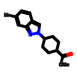 CCc1ccc2cn(C3CCC(C(=O)OC)CC3)nc2c1